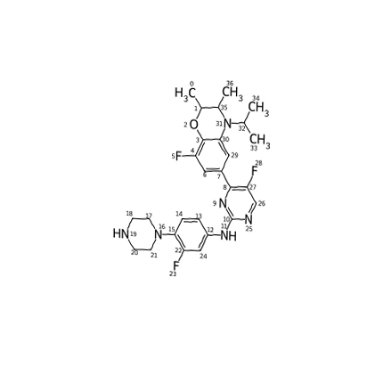 CC1Oc2c(F)cc(-c3nc(Nc4ccc(N5CCNCC5)c(F)c4)ncc3F)cc2N(C(C)C)C1C